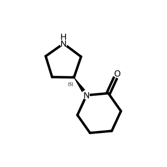 O=C1CCCCN1[C@H]1CCNC1